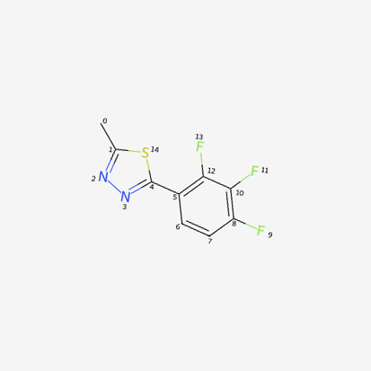 Cc1nnc(-c2ccc(F)c(F)c2F)s1